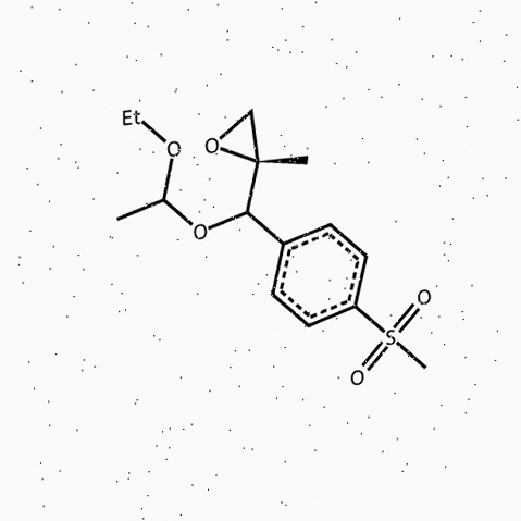 CCOC(C)OC(c1ccc(S(C)(=O)=O)cc1)[C@@]1(C)CO1